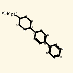 CCCCCCCC1CCC(C2C=CC(c3ccccc3)=CC2)CC1